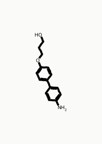 Nc1ccc(-c2ccc(OCCCO)cc2)cc1